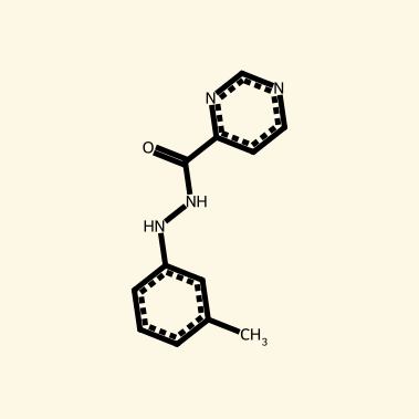 Cc1cccc(NNC(=O)c2ccncn2)c1